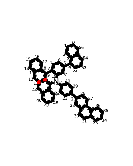 c1ccc2c(-c3ccc(-c4cccc5ccccc45)c(N(c4ccc(-c5ccc6c(ccc7ccccc76)c5)cc4)c4cccc5ccccc45)c3)cccc2c1